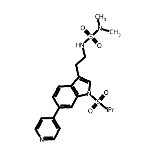 CC(C)S(=O)(=O)n1cc(CCNS(=O)(=O)N(C)C)c2ccc(-c3ccncc3)cc21